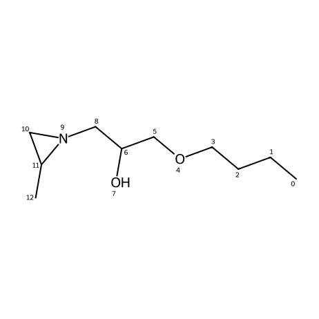 CCCCOCC(O)CN1CC1C